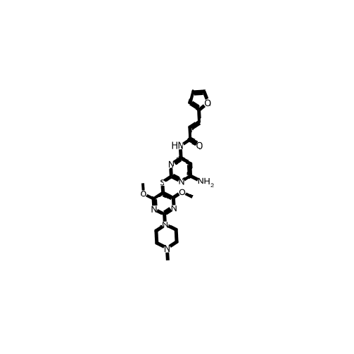 COc1nc(N2CCN(C)CC2)nc(OC)c1Sc1nc(N)cc(NC(=O)/C=C/c2ccco2)n1